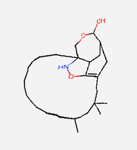 CC1CCCCCCCCC23COC(O)C4CC(=C(ON2)C3C4)CC(C)(C)C1